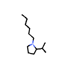 CCCCC[CH]N1CCCC1C(C)C